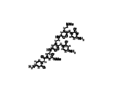 CNCCN(CC(=O)NCCN(CC(=O)NCCN(CC(=O)NC)C(=O)Cn1ccc(N)cc1=O)C(=O)Cn1ccc(N)cc1=O)C(=O)Cn1ccc(N)nc1=O